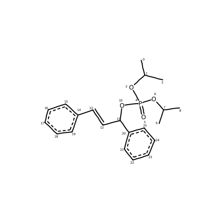 CC(C)OP(=O)(OC(C)C)OC(/C=C/c1ccccc1)c1ccccc1